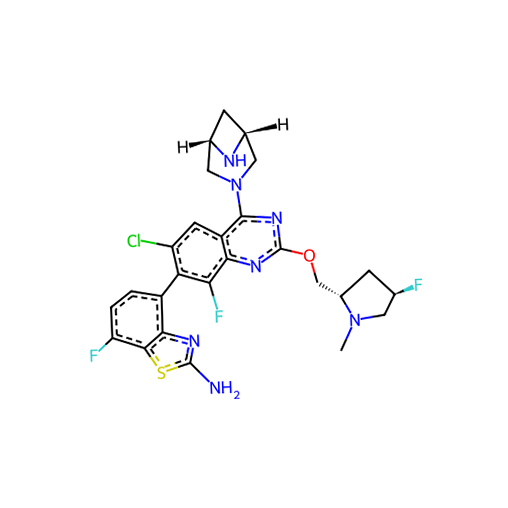 CN1C[C@H](F)C[C@H]1COc1nc(N2C[C@H]3C[C@@H](C2)N3)c2cc(Cl)c(-c3ccc(F)c4sc(N)nc34)c(F)c2n1